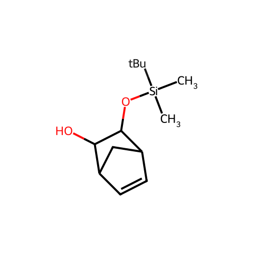 CC(C)(C)[Si](C)(C)OC1C2C=CC(C2)C1O